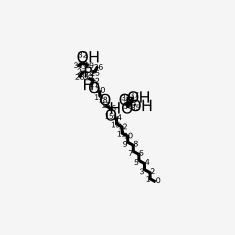 CCCCCCCCCCCCCCCOCCOCCOCC[PH](CC)(CC)CC(C)O.O=P(O)(O)O